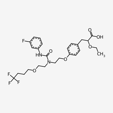 CCOC(Cc1ccc(OCCN(CCOCCCC(F)(F)F)C(=O)Nc2cccc(F)c2)cc1)C(=O)O